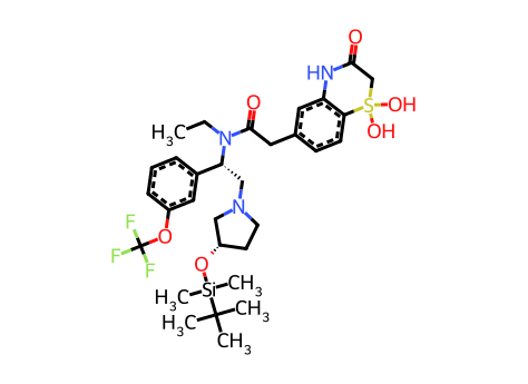 CCN(C(=O)Cc1ccc2c(c1)NC(=O)CS2(O)O)[C@H](CN1CC[C@H](O[Si](C)(C)C(C)(C)C)C1)c1cccc(OC(F)(F)F)c1